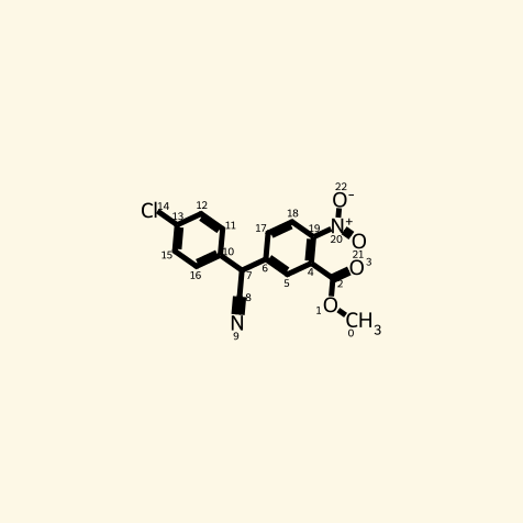 COC(=O)c1cc(C(C#N)c2ccc(Cl)cc2)ccc1[N+](=O)[O-]